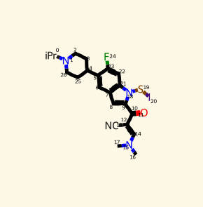 CC(C)N1CCC(c2cc3cc(C(=O)/C(C#N)=C/N(C)C)n(SI)c3cc2F)CC1